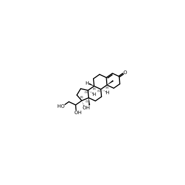 C[C@]12CCC(=O)C=C1CC[C@@H]1[C@@H]2CC[C@@]2(C)[C@H]1CC[C@]2(O)C(O)CO